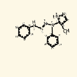 N#Cc1cn[nH]c1N(N=NNc1ccccc1)c1ccccc1